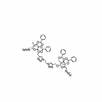 C[C@H]1[C@H](OC(=O)c2ccccc2)[C@H](OC(=O)c2ccccc2)[C@@H](OCc2cn(CCn3cc(COC4O[C@H](CN=[N+]=[N-])[C@@H](OC(=O)c5ccccc5)[C@H](OC(=O)c5ccccc5)[C@@H]4C)nn3)nn2)O[C@@H]1CN=[N+]=[N-]